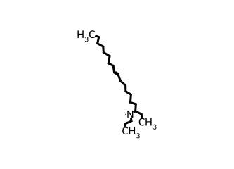 CCCCCCCCC=CCCCCCCC(CC)[N]CCC